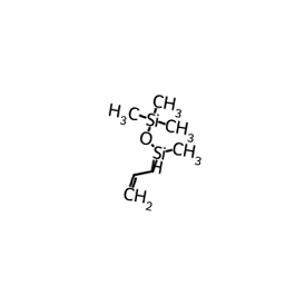 C=CC[SiH](C)O[Si](C)(C)C